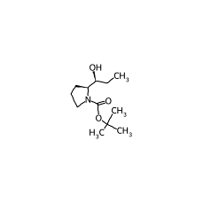 CC[C@H](O)[C@@H]1CCCN1C(=O)OC(C)(C)C